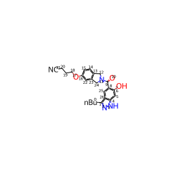 CCCCc1n[nH]c2cc(O)c(C(=O)N3Cc4ccc(OCCCC#N)cc4C3)cc12